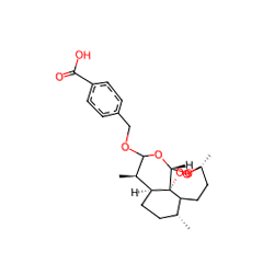 C[C@@H]1CC[C@H]2[C@@H](C)C(OCc3ccc(C(=O)O)cc3)O[C@@H]3O[C@]4(C)CCC1[C@]32OO4